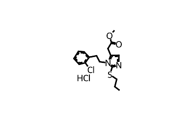 CCCSc1ncc(CC(=O)OC)n1CCc1ccccc1Cl.Cl